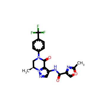 Cc1nc(C(=O)Nc2cnn3c2C(=O)N(c2ccc(C(F)(F)F)cc2)C[C@@H]3C)co1